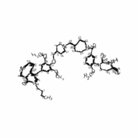 CCCCn1cc(-c2cc(OC)c(OCC3CCN(CC4CCN(C(=O)c5ccc(OC)c(N6CCC(=O)NC6=O)c5)CC4)CC3)c(OC)c2)c2ccncc2c1=O